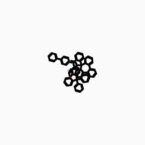 C=C/C(=C\C=C/C)C1(c2ccccc2N(c2ccc(-c3ccccc3)cc2)c2ccc3c(c2)-c2ccccc2C3(c2ccccc2)c2ccccc2)c2ccccc2-c2ccccc2-c2ccccc21